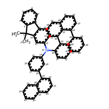 CC1(C)c2ccccc2-c2ccc(N(c3cccc(-c4cccc5ccccc45)c3)c3ccccc3-c3cccc4cccc(-c5ccccc5)c34)cc21